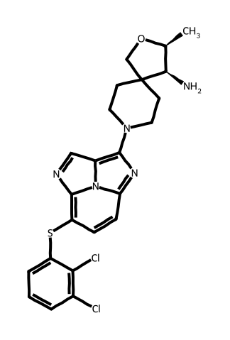 C[C@@H]1OCC2(CCN(c3nc4ccc(Sc5cccc(Cl)c5Cl)c5ncc3n45)CC2)[C@@H]1N